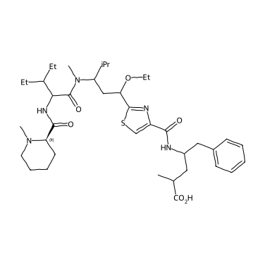 CCOC(CC(C(C)C)N(C)C(=O)C(NC(=O)[C@H]1CCCCN1C)C(CC)CC)c1nc(C(=O)NC(Cc2ccccc2)CC(C)C(=O)O)cs1